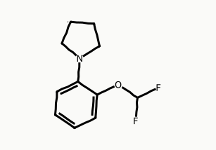 FC(F)Oc1ccccc1N1C[CH]CC1